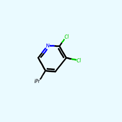 CC(C)c1cnc(Cl)c(Cl)c1